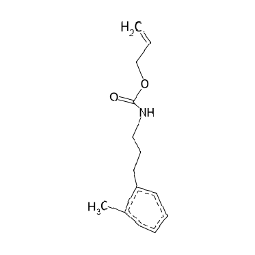 C=CCOC(=O)NCCCc1ccccc1C